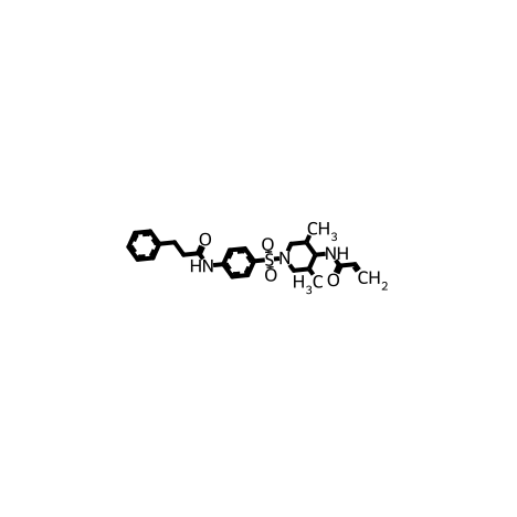 C=CC(=O)NC1C(C)CN(S(=O)(=O)c2ccc(NC(=O)CCc3ccccc3)cc2)CC1C